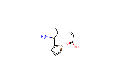 C=CC(=O)O.CCC(N)c1cccs1